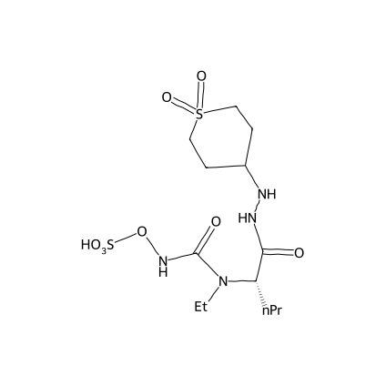 CCC[C@@H](C(=O)NNC1CCS(=O)(=O)CC1)N(CC)C(=O)NOS(=O)(=O)O